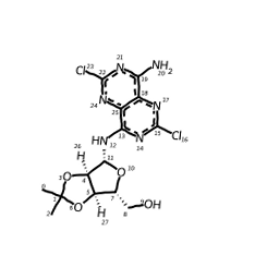 CC1(C)O[C@@H]2[C@H](O1)[C@@H](CO)O[C@H]2Nc1nc(Cl)nc2c(N)nc(Cl)nc12